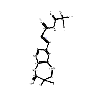 CC1(C)CNc2cc(/C=C/C(=O)OC(=O)C(F)(F)F)cnc2NC1=O